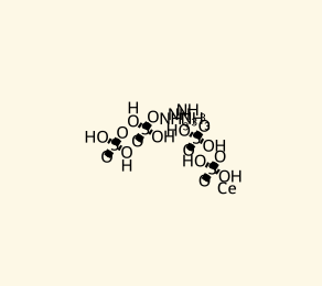 N.N.N.N.O=S(=O)(O)O.O=S(=O)(O)O.O=S(=O)(O)O.O=S(=O)(O)O.[Ce]